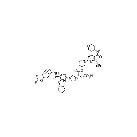 CCCSc1nc(N2CCCC(OC(=O)C(CC(=O)O)[C@@H]3CCN(c4ccc(C(=O)NC5C6CC7CC5CC(OC(F)F)(C7)C6)c(SC5CCCCC5)n4)C3)C2)ccc1C(=O)N(C)C1CCOCC1